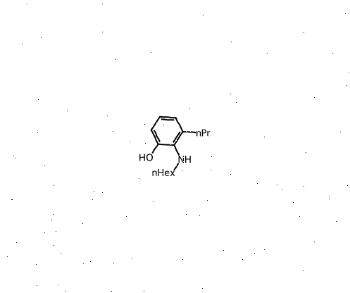 CCCCCCNc1c(O)cccc1CCC